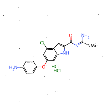 CNC(N)=NC(=O)c1cc2c(Cl)cc(Oc3ccc(N)cc3)cc2[nH]1.Cl.Cl